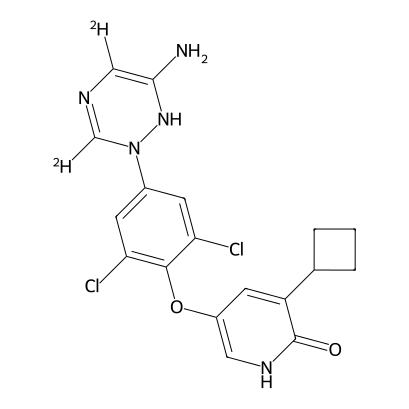 [2H]C1=NC([2H])=C(N)NN1c1cc(Cl)c(Oc2c[nH]c(=O)c(C3CCC3)c2)c(Cl)c1